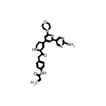 C=CC(=O)Nc1ccc(CC(=O)C2C=C(c3cc(-c4cnc(N)nc4)nc(N4CCOCC4)c3)CCN2)cc1